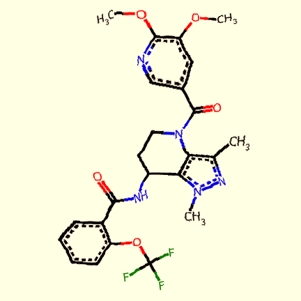 COc1cc(C(=O)N2CCC(NC(=O)c3ccccc3OC(F)(F)F)c3c2c(C)nn3C)cnc1OC